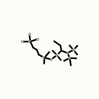 CCC(N([Si](C)(C)C)[Si](C)(C)C)[Si](C)(C)O[Si](C)(C)CCC[Si](Cl)(Cl)Cl